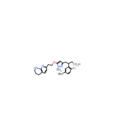 Cn1nc(CC(CC(=O)O)c2cc(C(C)(C)C)ccc2Cl)cc1OCCc1ccc2c(n1)NCCC2